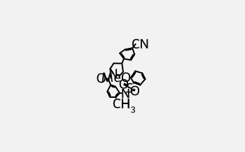 COc1ccccc1S(=O)(=O)Nc1cc(C(=O)N2CCC(c3ccc(C#N)cc3)CC2)ccc1C